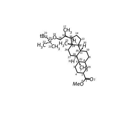 COC(=O)C1CC[C@@]2(C)C(CC[C@H]3[C@@H]4CC[C@H](C(C)CO[Si](C)(C)C(C)(C)C)[C@@]4(C)CC[C@@H]32)C1